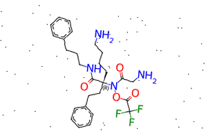 NCCCC[C@@](CCc1ccccc1)(C(=O)NCCCc1ccccc1)N(OC(=O)C(F)(F)F)C(=O)CN